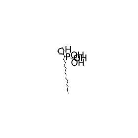 CCCCCCCCCCCCC(PCC(O)(O)O)c1ccccc1